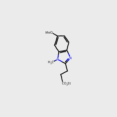 CCOC(=O)CCc1nc2ccc(OC)cc2n1C